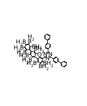 Bc1c(B)c(B)c(-c2c(B)c(B)c3c(oc4c(-c5nc(-c6ccc(-c7ccccc7)cc6)nc(-c6ccc(-c7ccccc7)cc6)n5)c(B)c(B)c(B)c43)c2B)c(B)c1B